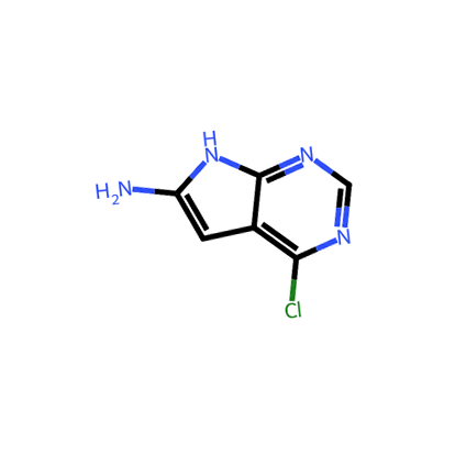 Nc1cc2c(Cl)ncnc2[nH]1